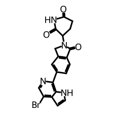 O=C1CCC(N2Cc3cc(-c4ncc(Br)c5cc[nH]c45)ccc3C2=O)C(=O)N1